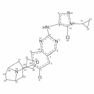 Clc1cc2cnc(Nc3cnn(C4CC4)c3Cl)nc2cc1C1CC2CCC(C1)N2C1COC1